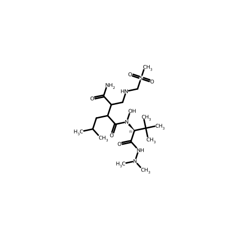 CC(C)CC(C(=O)N(O)[C@H](C(=O)NN(C)C)C(C)(C)C)C(CNCS(C)(=O)=O)C(N)=O